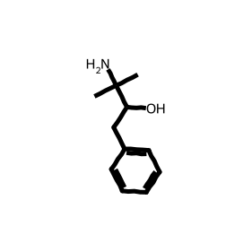 CC(C)(N)C(O)Cc1ccccc1